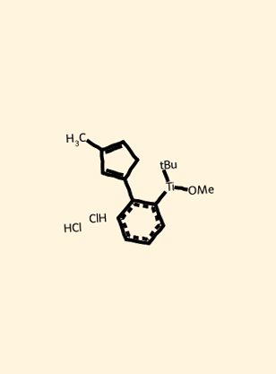 C[O][Ti]([c]1ccccc1C1=CC(C)=CC1)[C](C)(C)C.Cl.Cl